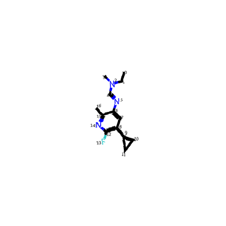 CCN(C)/C=N/c1cc(C2CC2)c(F)nc1C